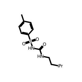 Cc1ccc(S(=O)(=O)NC(=O)NCCC(C)C)cc1